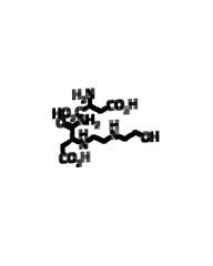 NC(=O)[C@H](CC(=O)O)NCCNCCO.N[C@@H](CC(=O)O)C(=O)O